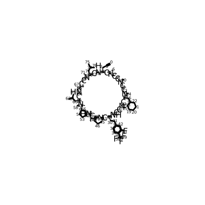 C#CC[C@H]1CN(C)CCN(C)CCN(C)[C@@H](CC2CCCCC2)CN(C)CCN[C@@H](CCc2ccc(C(F)(F)F)c(F)c2)CN2CCC[C@H]2CNC2(CCCC2)CN(C)[C@@H](CC(C)C)CN[C@H](C)CCN(C)[C@@H](CC(C)C)CN1